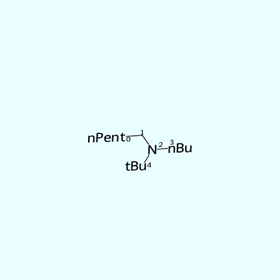 CCCCCCN(CCCC)C(C)(C)C